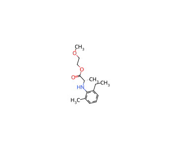 CCc1cccc(C)c1N[C@@H](C)C(=O)OCCOC